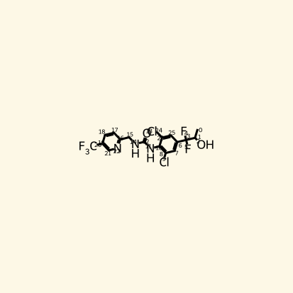 CC(O)C(F)(F)c1cc(Cl)c(NC(=O)NCc2ccc(C(F)(F)F)cn2)c(Cl)c1